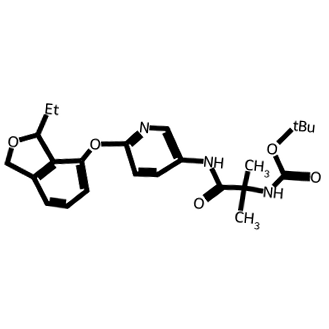 CCC1OCc2cccc(Oc3ccc(NC(=O)C(C)(C)NC(=O)OC(C)(C)C)cn3)c21